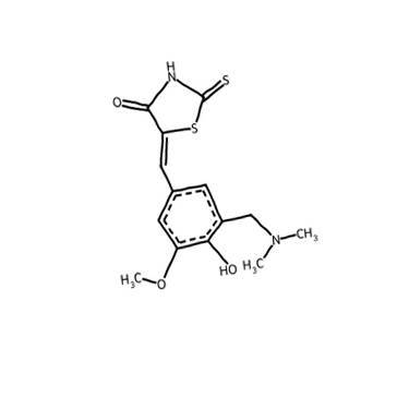 COc1cc(/C=C2\SC(=S)NC2=O)cc(CN(C)C)c1O